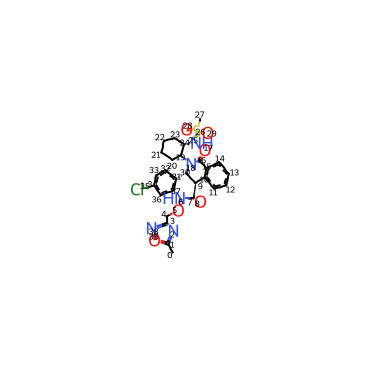 Cc1nc(CONC(=O)[C@@H]2c3ccccc3C(=O)N([C@H]3CCCC[C@@H]3NS(C)(=O)=O)[C@H]2c2ccc(Cl)cc2)no1